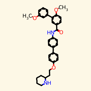 COc1cccc(-c2cc(C(=O)Nc3ccc(-c4ccc(OCCC5CCCCN5)cc4)cc3)ccc2OC)c1